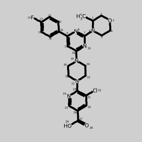 CC1COCCN1c1nc(-c2ccc(F)cc2)cc(N2CCN(c3ncc(C(=O)O)cc3Cl)CC2)n1